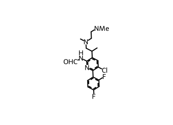 CNCCN(C)CC(C)c1cc(Cl)c(-c2ccc(F)cc2F)nc1NC=O